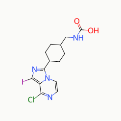 O=C(O)NCC1CCC(c2nc(I)c3c(Cl)nccn23)CC1